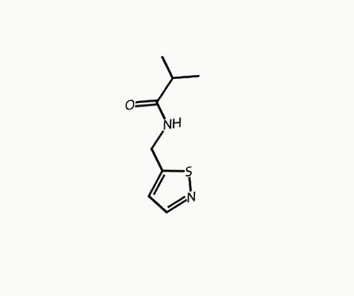 CC(C)C(=O)NCc1ccns1